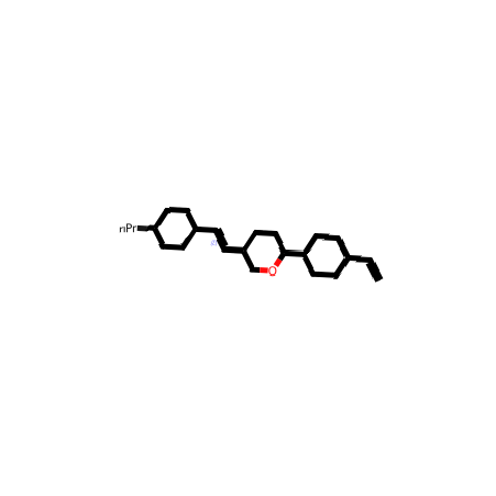 C=CC1CCC(C2CCC(/C=C/C3CCC(CCC)CC3)CO2)CC1